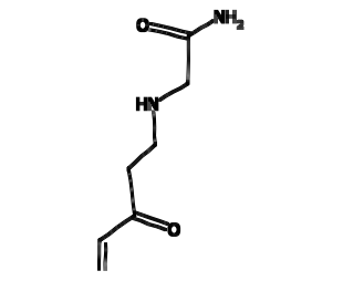 C=CC(=O)CCNCC(N)=O